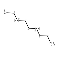 NCCNCCNCCl